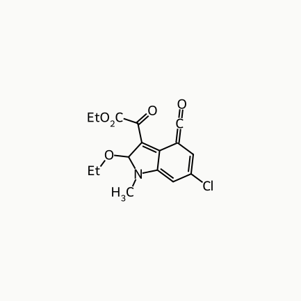 CCOC(=O)C(=O)C1=c2c(cc(Cl)cc2=C=O)N(C)C1OCC